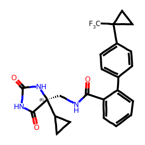 O=C1NC(=O)[C@](CNC(=O)c2ccccc2-c2ccc(C3(C(F)(F)F)CC3)cc2)(C2CC2)N1